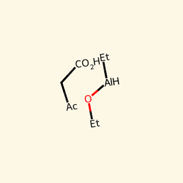 CC(=O)CC(=O)O.CC[O][AlH][CH2]C